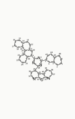 c1ccc2cc(-c3nc(-c4cc5ccc6ccccc6c5c5ccccc45)nc(-c4ccnc5oc6ncccc6c45)n3)ccc2c1